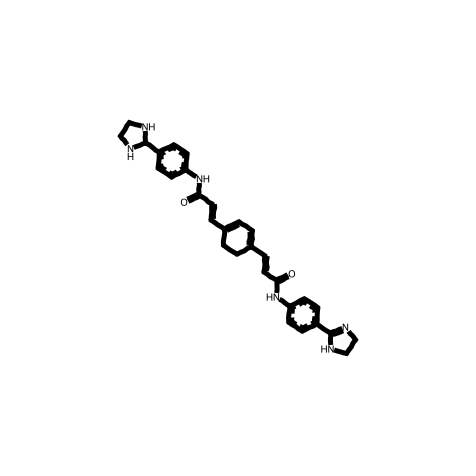 O=C(C=CC1=CC=C(C=CC(=O)Nc2ccc(C3NCCN3)cc2)CC1)Nc1ccc(C2=NCCN2)cc1